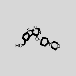 OCc1ccc2sc3ncnc(O[C@H]4CC[C@H](N5CCOCC5)CC4)c3c2c1